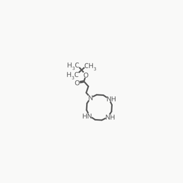 CC(C)(C)OC(=O)CCN1CCNCCNCCNCC1